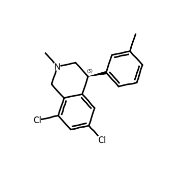 Cc1cccc([C@@H]2CN(C)Cc3c(Cl)cc(Cl)cc32)c1